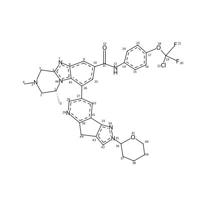 C[C@@H]1CN(C)Cc2nc3cc(C(=O)Nc4ccc(OC(F)(F)Cl)cc4)cc(-c4cnc5c(c4)-c4nn(C6CCCCO6)cc4C5)c3n21